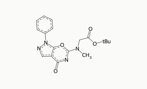 CN(CC(=O)OC(C)(C)C)c1nc(=O)c2cnn(-c3ccccc3)c2o1